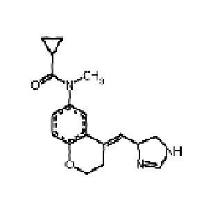 CN(C(=O)C1CC1)c1ccc2c(c1)/C(=C/C1CNC=N1)CCO2